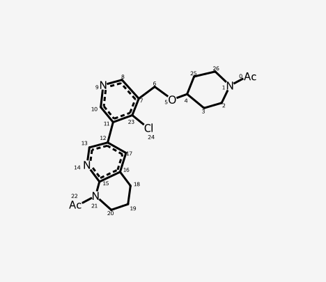 CC(=O)N1CCC(OCc2cncc(-c3cnc4c(c3)CCCN4C(C)=O)c2Cl)CC1